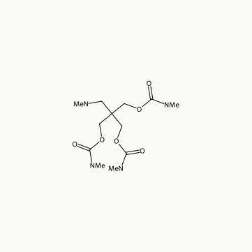 CNCC(COC(=O)NC)(COC(=O)NC)COC(=O)NC